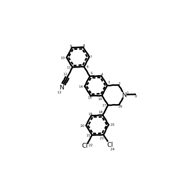 CN1Cc2cc(-c3ccccc3C#N)ccc2C(c2ccc(Cl)c(Cl)c2)C1